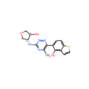 Cc1nc(N[C@@H]2COC[C@H]2O)nnc1-c1ccc2sccc2c1O